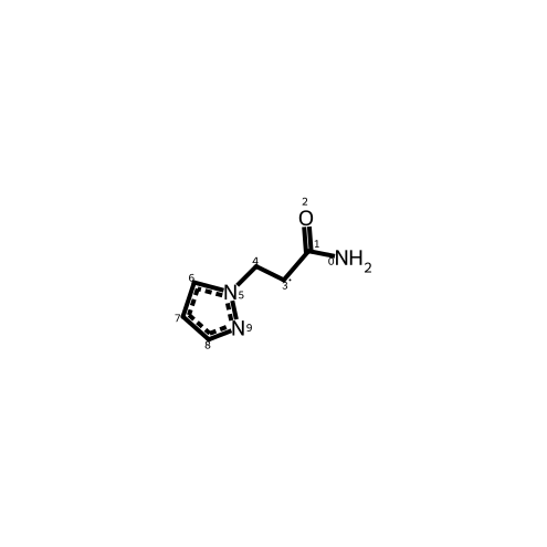 NC(=O)[CH]Cn1cccn1